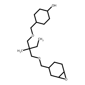 CCC(C)(COCC1CCC(O)CC1)COCC1CCC2OC2C1